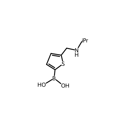 CC(C)NCc1ccc(B(O)O)s1